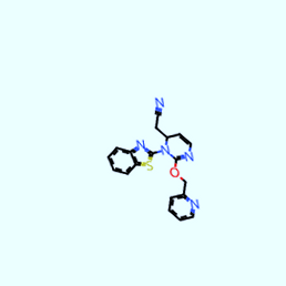 N#CCC1C=CN=C(OCc2ccccn2)N1c1nc2ccccc2s1